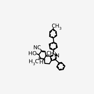 Cc1ccc(-c2ccc(-n3nc(-c4ccccc4)c4c3[C@]3(C)C=C(C#N)C(O)[C@H](C)[C@H]3CC4)cc2)cc1